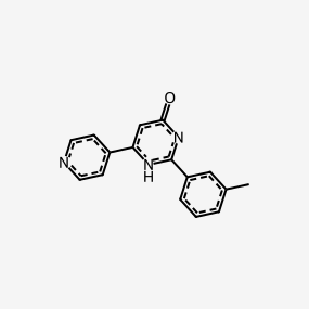 Cc1cccc(-c2nc(=O)cc(-c3ccncc3)[nH]2)c1